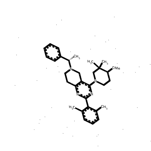 COC1CCN(c2nc(-c3c(C)cccc3C)nc3c2CN([C@@H](C)c2ccccc2)CC3)CC1(C)C